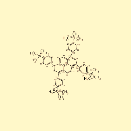 CC(C)(C)c1ccc(-c2cc(-c3ccc([Si](C)(C)C)cc3)c3ccc4c(-c5ccc(C(C)(C)C)cc5)cc(-c5ccc([Si](C)(C)C)cc5)c5ccc2c3c45)cc1